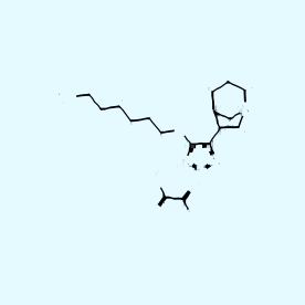 CCCCCCCSc1nsnc1C1CN2CCCC1C2.O=C(O)C(=O)O